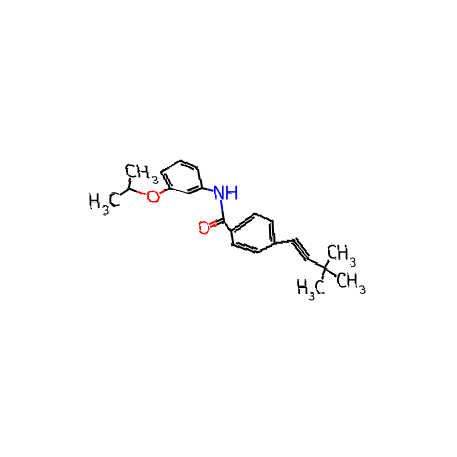 CC(C)Oc1cccc(NC(=O)c2ccc(C#CC(C)(C)C)cc2)c1